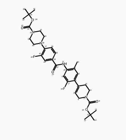 Cc1cc(C2=CCN(C(=O)OC(C)(C)C)CC2)c(F)cc1NC(=O)c1ccc(N2CCN(C(=O)OC(C)(C)C)CC2)c(F)c1